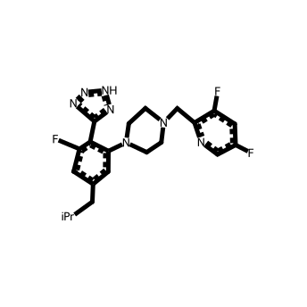 CC(C)Cc1cc(F)c(-c2nn[nH]n2)c(N2CCN(Cc3ncc(F)cc3F)CC2)c1